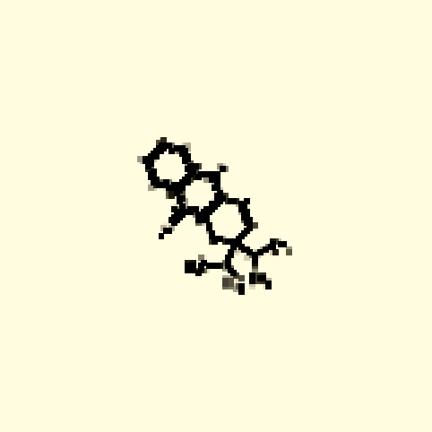 CC(C)C1(C(C)C)C=Cc2oc3ccccc3c(=O)c2C1